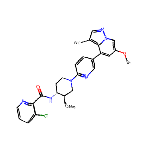 CCOc1cc(-c2ccc(N3CC[C@@H](NC(=O)c4ncccc4Cl)[C@H](OC)C3)nc2)c2c(C#N)cnn2c1